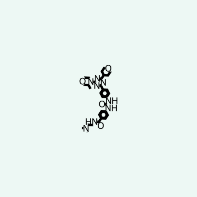 CC1COCCN1c1nc(-c2ccc(NC(=O)Nc3ccc(C(=O)NCCN(C)C)cc3)cc2)nc(C2CCOCC2)n1